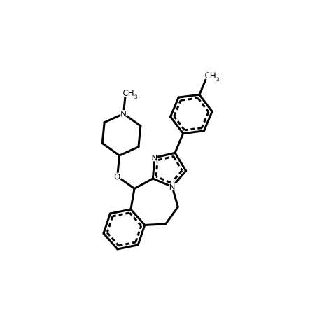 Cc1ccc(-c2cn3c(n2)C(OC2CCN(C)CC2)c2ccccc2CC3)cc1